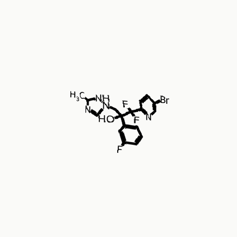 CC1N=CN(CC(O)(c2cccc(F)c2)C(F)(F)c2ccc(Br)cn2)N1